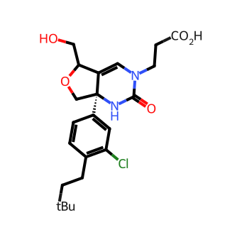 CC(C)(C)CCc1ccc([C@]23COC(CO)C2=CN(CCC(=O)O)C(=O)N3)cc1Cl